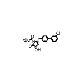 CC(C)(C)C(=O)N1C(=O)[C@H](O)C[C@H]1Cc1ccc(-c2cccc(Cl)c2)cc1